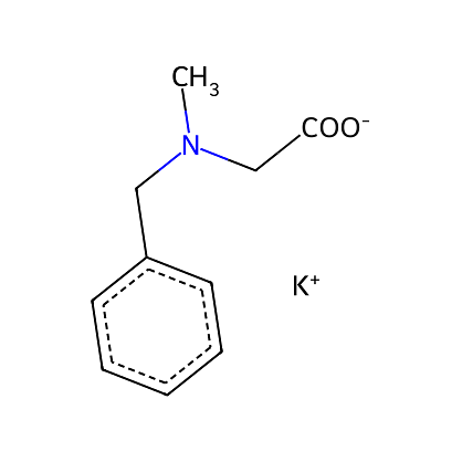 CN(CC(=O)[O-])Cc1ccccc1.[K+]